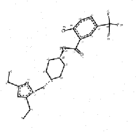 CCc1cc(CC)n(C[C@H]2CC[C@H](NC(=O)c3cc(C(F)(F)F)ccc3Cl)CC2)n1